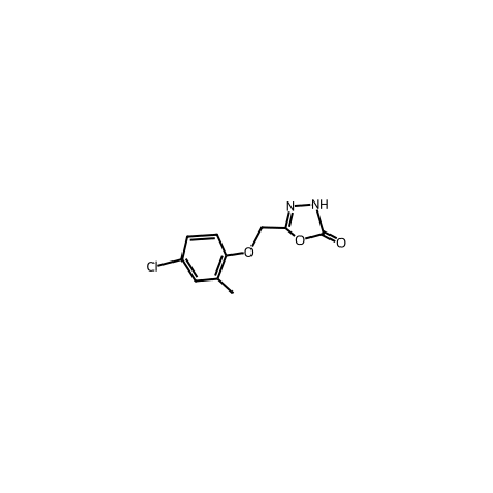 Cc1cc(Cl)ccc1OCc1n[nH]c(=O)o1